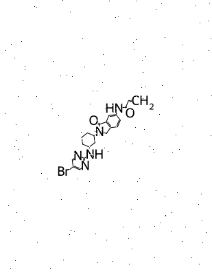 C=CC(=O)Nc1ccc2c(c1)C(=O)N([C@H]1CCC[C@@H](Nc3ncc(Br)cn3)C1)C2